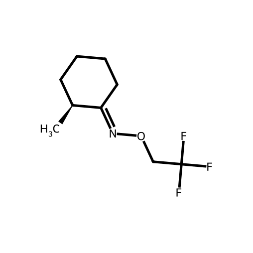 C[C@H]1CCCC/C1=N\OCC(F)(F)F